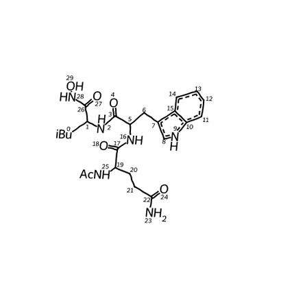 CCC(C)C(NC(=O)C(Cc1c[nH]c2ccccc12)NC(=O)C(CCC(N)=O)NC(C)=O)C(=O)NO